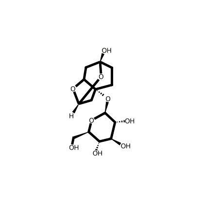 OC[C@H]1O[C@@H](O[C@@]23CC[C@@]4(O)CC2O[C@@H](C3)O4)[C@H](O)[C@@H](O)[C@@H]1O